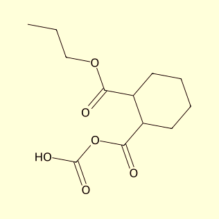 CCCOC(=O)C1CCCCC1C(=O)OC(=O)O